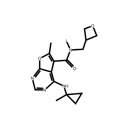 Cc1oc2ncnc(NC3(C)CC3)c2c1C(=O)N(I)CC1COC1